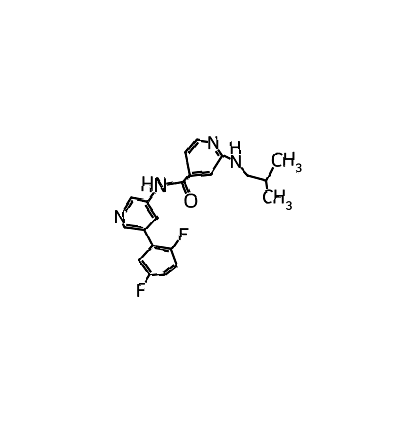 CC(C)CNc1cc(C(=O)Nc2cncc(-c3cc(F)ccc3F)c2)ccn1